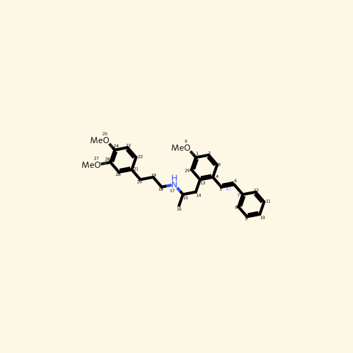 COc1ccc(/C=C/c2ccccc2)c(CC(C)NCCCc2ccc(OC)c(OC)c2)c1